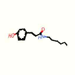 CCCCCCNC(=O)CCc1ccc(O)cc1